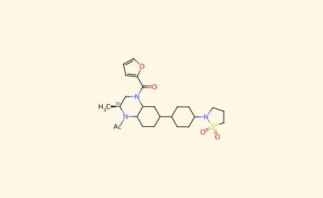 CC(=O)N1C2CCC(C3CCC(N4CCCS4(=O)=O)CC3)CC2N(C(=O)c2ccco2)C[C@@H]1C